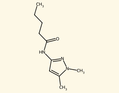 CCCCC(=O)Nc1cc(C)n(C)n1